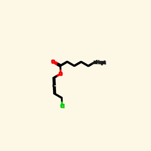 CCCCCCCCCCCC(=O)OC=C=CCCl